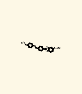 CCCOc1ccc(N=Nc2ccc(-c3nc4ccc(OC)cc4s3)cc2)cc1